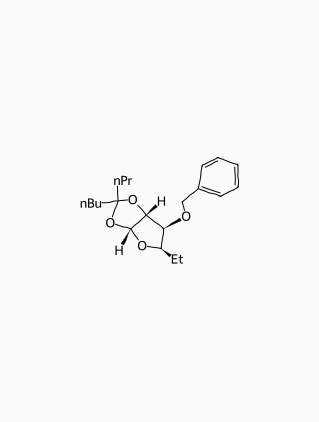 CCCCC1(CCC)O[C@H]2O[C@H](CC)[C@H](OCc3ccccc3)[C@H]2O1